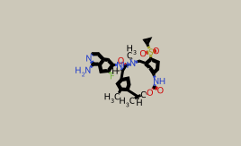 Cc1cc2ccc1[C@@H](C)COC(=O)Nc1ccc(S(=O)(=O)C3CC3)c(c1)CN(C)C(=O)[C@@H]2Nc1cc2ccnc(N)c2cc1F